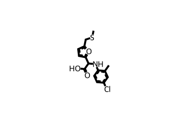 CSCc1ccc(C(Nc2ccc(Cl)cc2C)C(=O)O)o1